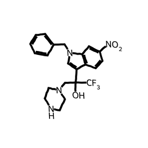 O=[N+]([O-])c1ccc2c(C(O)(CN3CCNCC3)C(F)(F)F)cn(Cc3ccccc3)c2c1